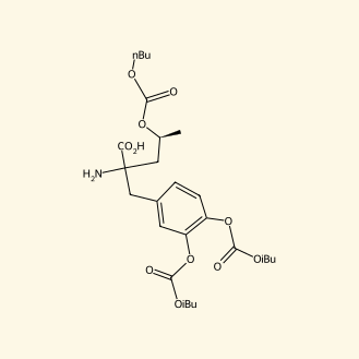 CCCCOC(=O)O[C@@H](C)CC(N)(Cc1ccc(OC(=O)OCC(C)C)c(OC(=O)OCC(C)C)c1)C(=O)O